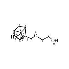 CC1(C)C2CC=C(COCCO)C1C2